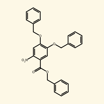 O=C(OCc1ccccc1)c1cc(OCc2ccccc2)c(OCc2ccccc2)cc1[N+](=O)[O-]